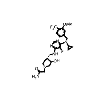 COc1cc(CN(c2ncnc(NC[C@H]3CCN(CC(N)=O)C[C@@H]3O)c2F)C2CC2)ccc1C(F)(F)F